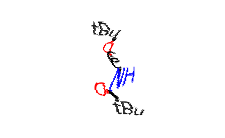 CC(C)(C)COCCNC(=O)CC(C)(C)C